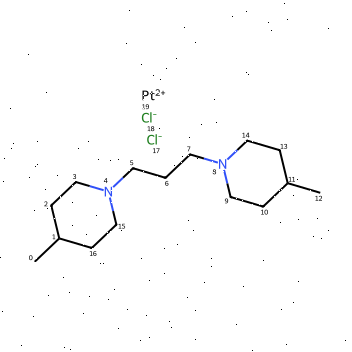 CC1CCN(CCCN2CCC(C)CC2)CC1.[Cl-].[Cl-].[Pt+2]